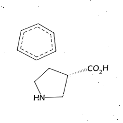 O=C(O)[C@H]1CCNC1.c1ccccc1